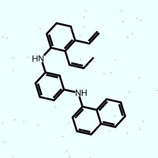 C=CC1=C(/C=C\C)C(Nc2cccc(Nc3cccc4ccccc34)c2)=CCC1